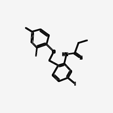 CCC(=S)Nc1cc(I)ccc1COc1ccc(C)cc1C